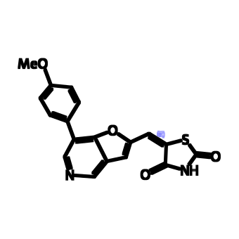 COc1ccc(-c2cncc3cc(/C=C4/SC(=O)NC4=O)oc23)cc1